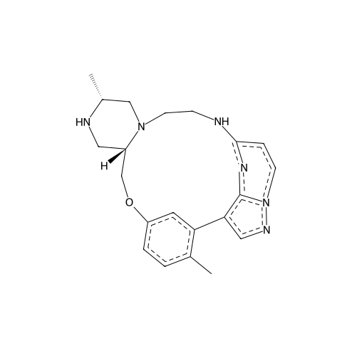 Cc1ccc2cc1-c1cnn3ccc(nc13)NCCN1C[C@@H](C)NC[C@H]1CO2